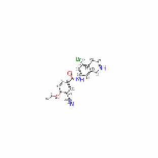 CCOc1ccc(C(=O)Nc2cc(Br)c3c(c2)CNCC3)cc1C#N